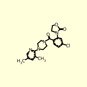 Cc1cnc(N2CCN(C(=O)c3ccc(Cl)cc3N3CCOC3=O)CC2)c(C)c1